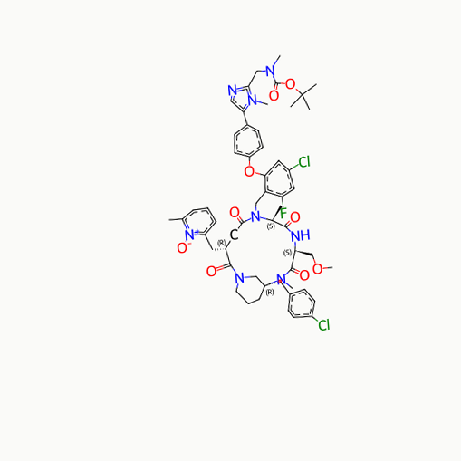 COC[C@@H]1NC(=O)[C@H](C)N(Cc2c(F)cc(Cl)cc2Oc2ccc(-c3cnc(CN(C)C(=O)OC(C)(C)C)n3C)cc2)C(=O)C[C@@H](Cc2cccc(C)[n+]2[O-])C(=O)N2CCC[C@@](Cc3ccc(Cl)cc3)(C2)N(C)C1=O